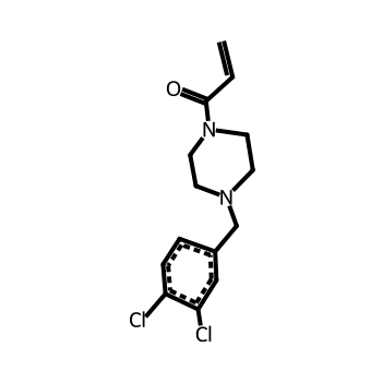 C=CC(=O)N1CCN(Cc2ccc(Cl)c(Cl)c2)CC1